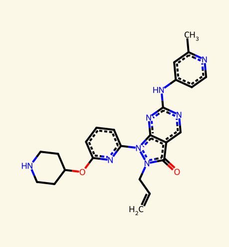 C=CCn1c(=O)c2cnc(Nc3ccnc(C)c3)nc2n1-c1cccc(OC2CCNCC2)n1